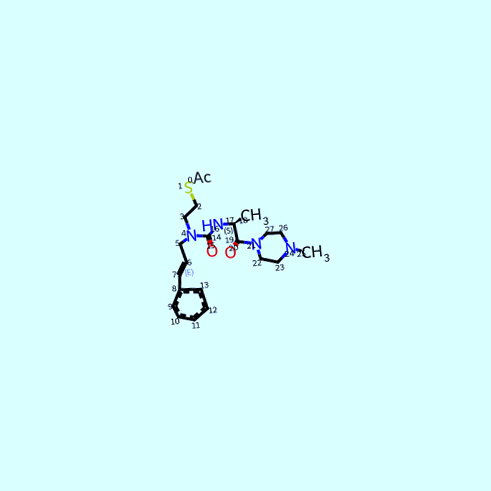 CC(=O)SCCN(C/C=C/c1ccccc1)C(=O)N[C@@H](C)C(=O)N1CCN(C)CC1